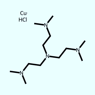 CN(C)CCN(CCN(C)C)CCN(C)C.Cl.[Cu]